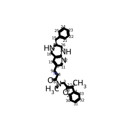 Cc1c(CN(C)C(=O)/C=C/c2cnc3c(c2)CN[C@@H](Cc2ccccc2)CN3)oc2ccccc12